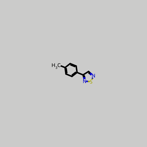 Cc1ccc(-c2cnsn2)cc1